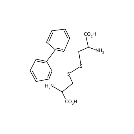 NC(CSSCC(N)C(=O)O)C(=O)O.c1ccc(-c2ccccc2)cc1